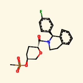 CS(=O)(=O)O[C@H]1CC[C@H](C(=O)N2CCc3ccccc3[C@@H]2c2ccc(F)cc2)OC1